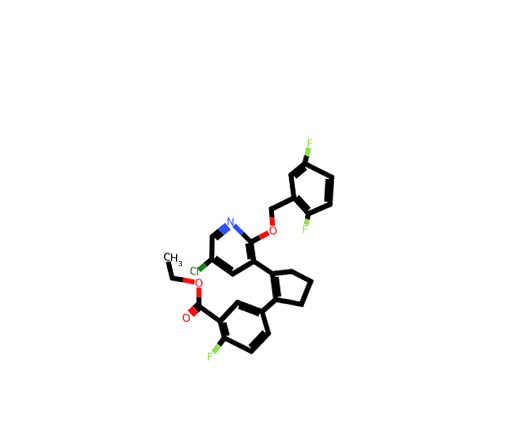 CCOC(=O)c1cc(C2=C(c3cc(Cl)cnc3OCc3cc(F)ccc3F)CCC2)ccc1F